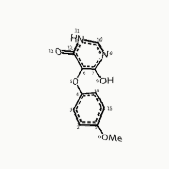 COc1ccc(Oc2c(O)nc[nH]c2=O)cc1